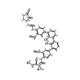 COc1cc(-c2nccc(-c3cccc(-c4ccc(CNC[C@@H]5CCC(=O)N5)c(OC)n4)c3Cl)c2Cl)ccc1CNC1(C(=O)OC(C)C)CC1